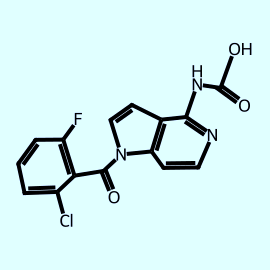 O=C(O)Nc1nccc2c1ccn2C(=O)c1c(F)cccc1Cl